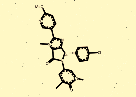 COc1ccc(-c2nc3c(n2C)C(=O)N(c2cc(C)c(=O)n(C)c2)[C@H]3c2ccc(Cl)cc2)cn1